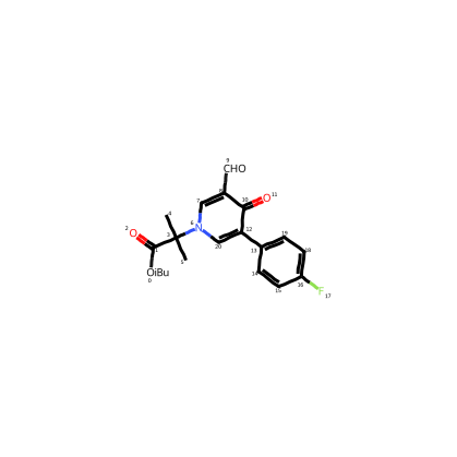 CC(C)COC(=O)C(C)(C)n1cc(C=O)c(=O)c(-c2ccc(F)cc2)c1